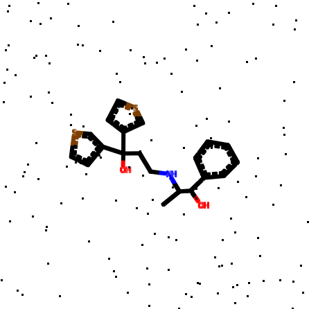 CC(NCCC(O)(c1ccsc1)c1ccsc1)C(O)c1ccccc1